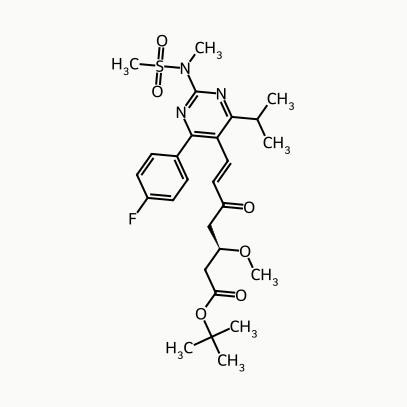 CO[C@H](CC(=O)/C=C/c1c(-c2ccc(F)cc2)nc(N(C)S(C)(=O)=O)nc1C(C)C)CC(=O)OC(C)(C)C